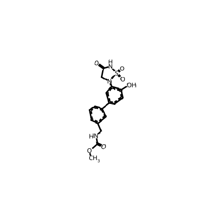 COC(=O)NCc1cccc(-c2ccc(O)c(N3CC(=O)NS3(=O)=O)c2)c1